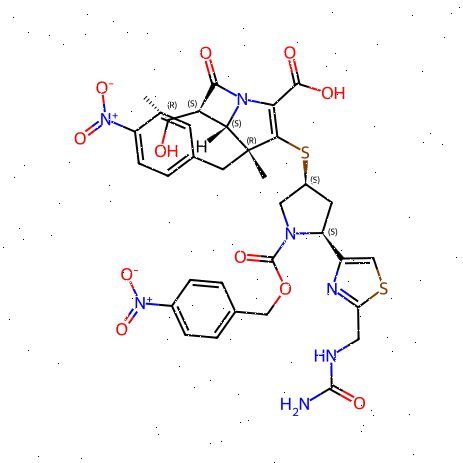 C[C@@H](O)[C@H]1C(=O)N2C(C(=O)O)=C(S[C@H]3C[C@@H](c4csc(CNC(N)=O)n4)N(C(=O)OCc4ccc([N+](=O)[O-])cc4)C3)[C@](C)(Cc3ccc([N+](=O)[O-])cc3)[C@H]12